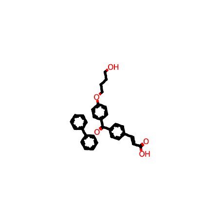 O=C(O)C=Cc1ccc(C(=O)c2ccc(OCCCCO)cc2)cc1.c1ccc(-c2ccccc2)cc1